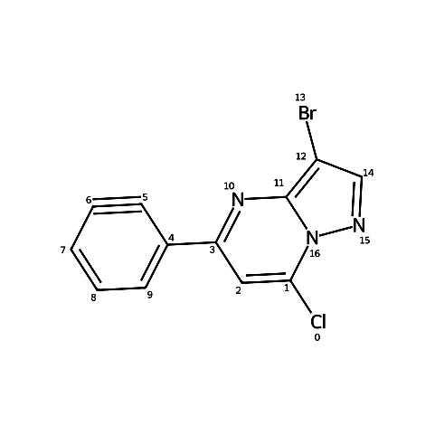 Clc1cc(-c2c#cccc2)nc2c(Br)cnn12